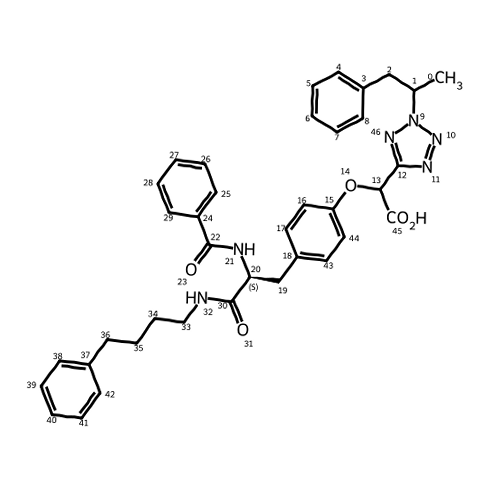 CC(Cc1ccccc1)n1nnc(C(Oc2ccc(C[C@H](NC(=O)c3ccccc3)C(=O)NCCCCc3ccccc3)cc2)C(=O)O)n1